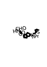 CCCN(CCc1cccs1)[C@H]1CCc2c(cccc2OC(=O)CNC=O)C1